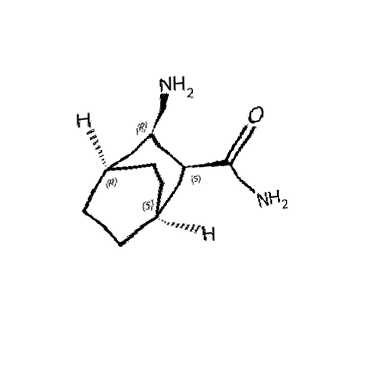 NC(=O)[C@H]1[C@H]2CC[C@H](C2)[C@H]1N